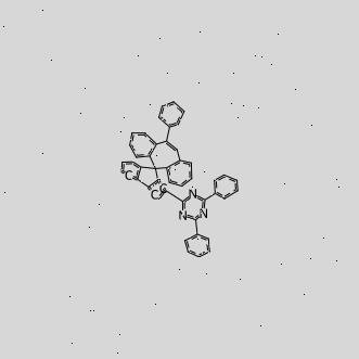 C1=C(c2ccccc2)c2ccccc2C2(c3ccccc31)c1ccccc1-c1ccc(-c3nc(-c4ccccc4)nc(-c4ccccc4)n3)cc12